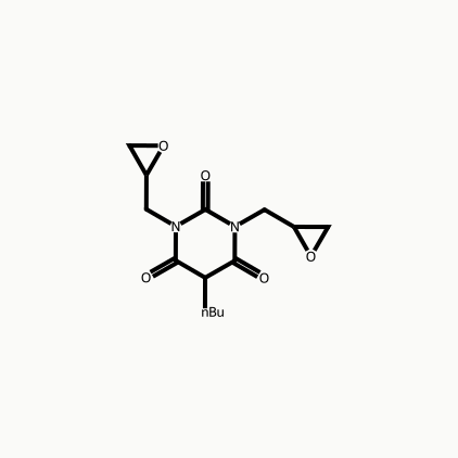 CCCCC1C(=O)N(CC2CO2)C(=O)N(CC2CO2)C1=O